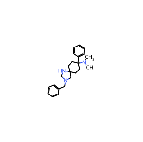 CN(C)C1(c2ccccc2)CCC2(CC1)CN(Cc1ccccc1)CN2